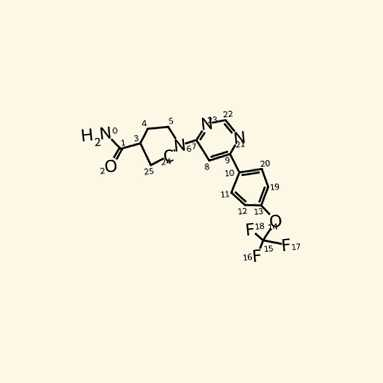 NC(=O)C1CCN(c2cc(-c3ccc(OC(F)(F)F)cc3)ncn2)CC1